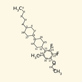 CCCCCC1CCC(C2CCC(c3c(C)cc(OCC)c(F)c3F)CC2)CC1